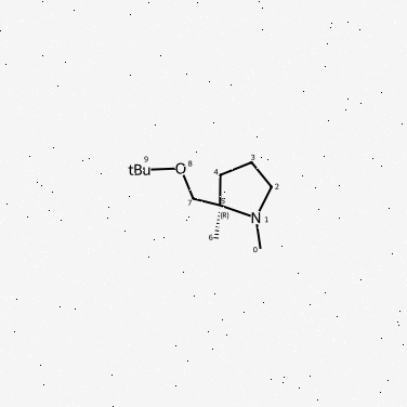 CN1CCC[C@]1(C)COC(C)(C)C